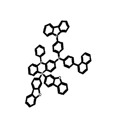 c1ccc(N2c3ccccc3[Si](c3ccc4c(c3)oc3ccccc34)(c3ccc4c(c3)oc3ccccc34)c3ccc(N(c4ccc(-c5cccc6ccccc56)cc4)c4ccc(-n5c6ccccc6c6ccccc65)cc4)cc32)cc1